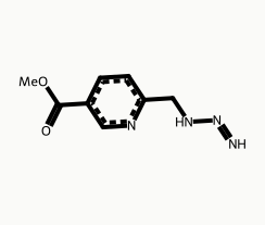 COC(=O)c1ccc(CNN=N)nc1